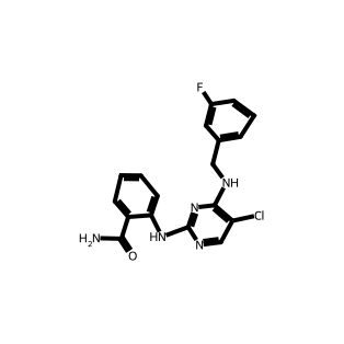 NC(=O)c1ccccc1Nc1ncc(Cl)c(NCc2cccc(F)c2)n1